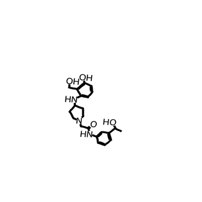 CC(O)c1cccc(NC(=O)CN2CCC(Nc3cccc(O)c3CO)CC2)c1